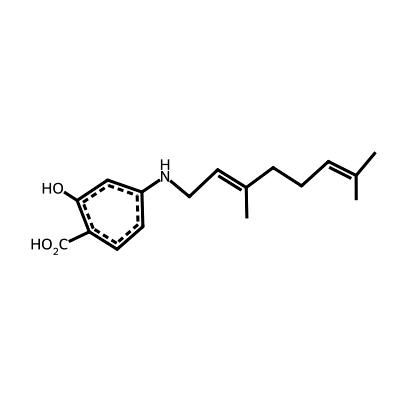 CC(C)=CCC/C(C)=C/CNc1ccc(C(=O)O)c(O)c1